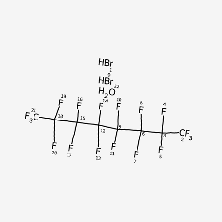 Br.Br.FC(F)(F)C(F)(F)C(F)(F)C(F)(F)C(F)(F)C(F)(F)C(F)(F)C(F)(F)F.O